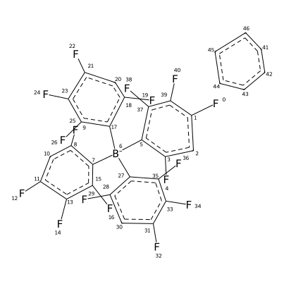 Fc1cc(F)c([B-](c2c(F)cc(F)c(F)c2F)(c2c(F)cc(F)c(F)c2F)c2c(F)cc(F)c(F)c2F)c(F)c1F.c1ccccc1